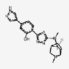 CN1CC2CCC1C[C@@H]2N(C)c1nnc(-c2ccc(-c3cn[nH]c3)cc2O)s1